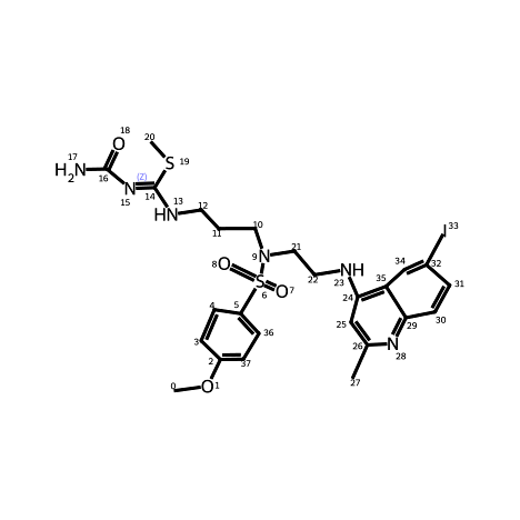 COc1ccc(S(=O)(=O)N(CCCN/C(=N/C(N)=O)SC)CCNc2cc(C)nc3ccc(I)cc23)cc1